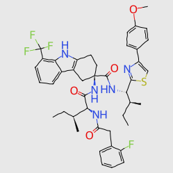 CC[C@H](C)[C@H](NC(=O)Cc1ccccc1F)C(=O)N[C@]1(C(=O)N[C@H](c2nc(-c3ccc(OC)cc3)cs2)[C@@H](C)CC)CCc2[nH]c3c(C(F)(F)F)cccc3c2C1